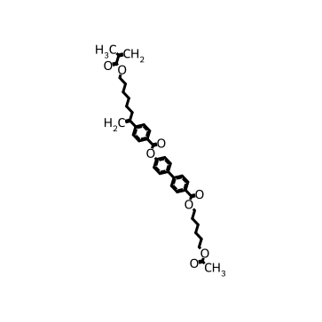 C=C(C)C(=O)OCCCCCCC(=C)c1ccc(C(=O)Oc2ccc(-c3ccc(C(=O)OCCCCCCOC(C)=O)cc3)cc2)cc1